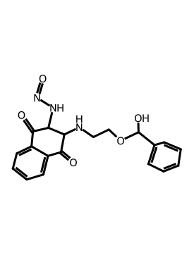 O=NNC1C(=O)c2ccccc2C(=O)C1NCCOC(O)c1ccccc1